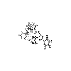 COP(=O)(/C=C/[C@H]1O[C@@H](n2cc(C)c(=O)[nH]c2=O)C[C@H]1O[P@@]1O[C@H](C[Si](C)(c2ccccc2)c2ccccc2)[C@@H]2CCCN21)OC